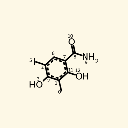 Cc1c(O)c(I)cc(C(N)=O)c1O